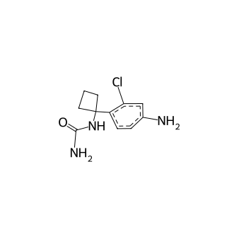 NC(=O)NC1(c2ccc(N)cc2Cl)CCC1